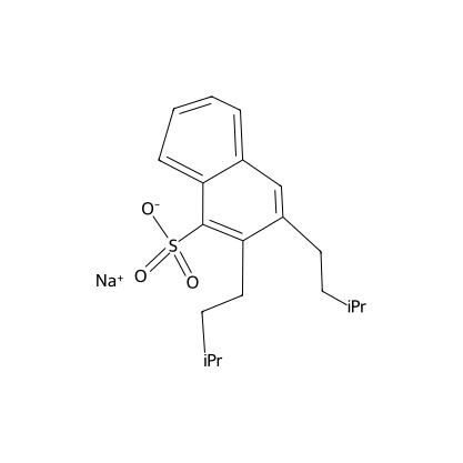 CC(C)CCc1cc2ccccc2c(S(=O)(=O)[O-])c1CCC(C)C.[Na+]